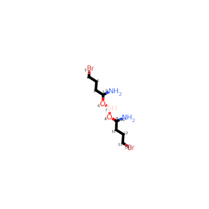 NC(CCCBr)OBOC(N)CCCBr